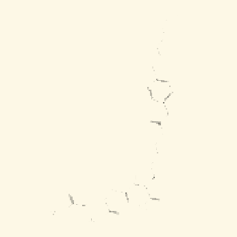 COC(=O)CC[C@H](NC(=O)N[C@@H](CCCCNC(=O)Cc1ccc(CCCCCC(=O)O)cc1)C(=O)OC)C(=O)OC